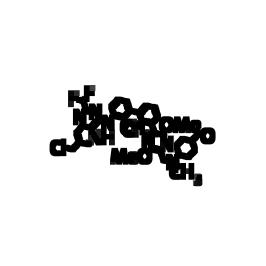 COC(=O)C1CCC(N(C)Cc2ncc(-c3cccc(-c4cccc(Nc5nc(C(F)F)nc6cc(CCl)cnc56)c4C)c3Cl)nc2OC)CC1